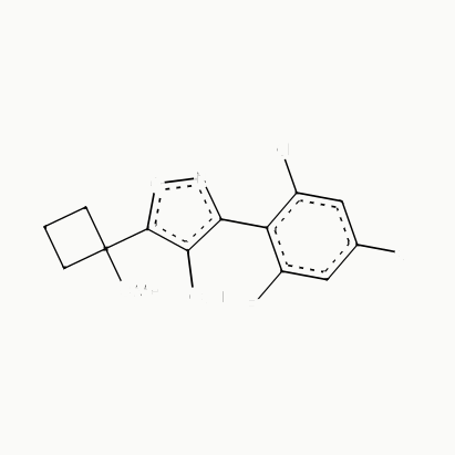 COC1(c2onc(-c3c(F)cc(Cl)cc3Cl)c2C(=O)O)CCC1